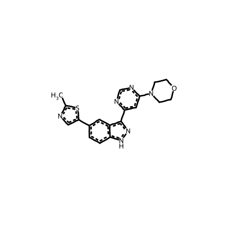 Cc1ncc(-c2ccc3[nH]nc(-c4cc(N5CCOCC5)ncn4)c3c2)s1